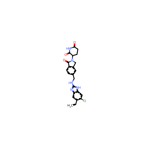 C=Cc1cc2nc(NCc3ccc4c(c3)CN(C3CCC(=O)NC3=O)C4=O)[nH]c2cc1Cl